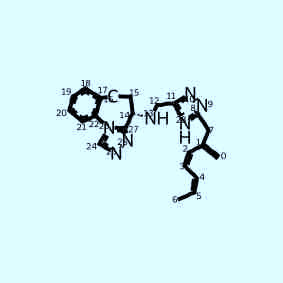 C=C(/C=C\C=C/C)Cc1nnc(CN[C@H]2CCc3ccccc3-n3cnnc32)[nH]1